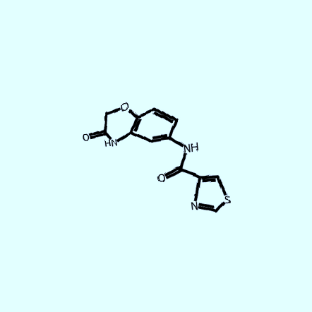 O=C1COc2ccc(NC(=O)c3cscn3)cc2N1